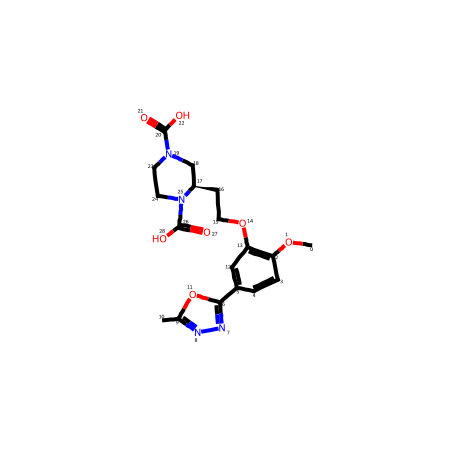 COc1ccc(-c2nnc(C)o2)cc1OCC[C@@H]1CN(C(=O)O)CCN1C(=O)O